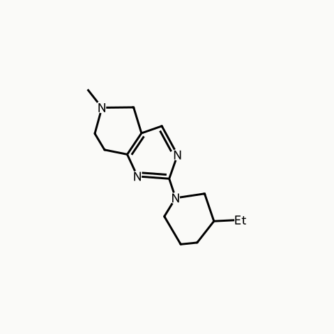 CCC1CCCN(c2ncc3c(n2)CCN(C)C3)C1